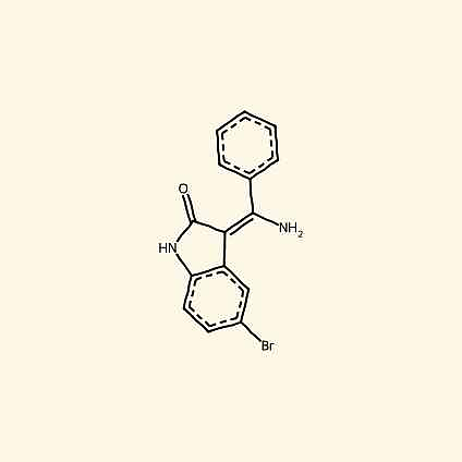 NC(=C1C(=O)Nc2ccc(Br)cc21)c1ccccc1